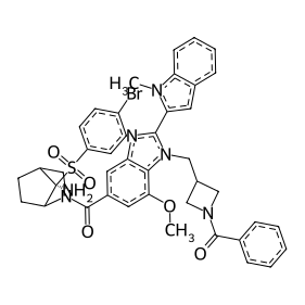 COc1cc(C(=O)N2CC3CCC2[C@]3(N)S(=O)(=O)c2ccc(Br)cc2)cc2nc(-c3cc4ccccc4n3C)n(CC3CN(C(=O)c4ccccc4)C3)c12